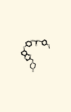 COc1ccc(NC(=O)Nc2ccc(Oc3ccc4ncc(CN5CCNCC5)nc4c3)cc2)cc1